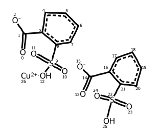 O=C([O-])c1ccccc1S(=O)(=O)O.O=C([O-])c1ccccc1S(=O)(=O)O.[Cu+2]